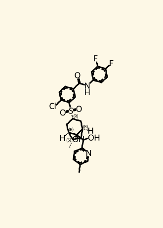 Cc1ccc(C(O)[C@@]2(O)[C@H]3C[C@@H](S(=O)(=O)c4cc(C(=O)Nc5ccc(F)c(F)c5)ccc4Cl)C[C@@H]2[C@@H](C)C3)nc1